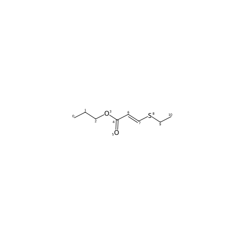 CCCOC(=O)C=CSCC